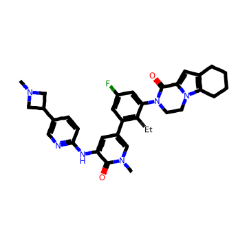 CCc1c(-c2cc(Nc3ccc(C4CN(C)C4)cn3)c(=O)n(C)c2)cc(F)cc1N1CCn2c(cc3c2CCCC3)C1=O